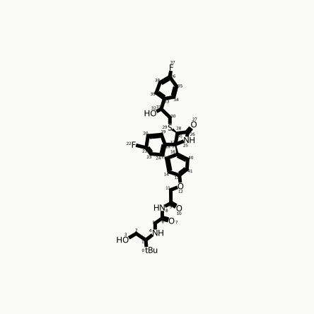 CC(C)(C)C(CO)NCC(=O)NC(=O)COc1ccc([C@]2(c3ccc(F)cc3)NC(=O)[C@@H]2SCC(O)c2ccc(F)cc2)cc1